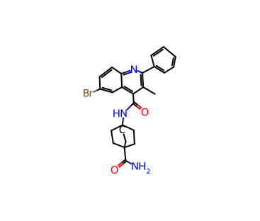 Cc1c(-c2ccccc2)nc2ccc(Br)cc2c1C(=O)NC12CCC(C(N)=O)(CC1)CC2